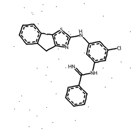 N=C(Nc1cc(Cl)cc(Nc2nc3c(s2)-c2ccccc2C3)c1)c1ccccc1